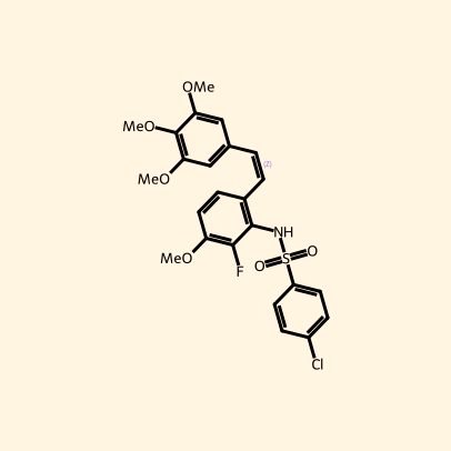 COc1ccc(/C=C\c2cc(OC)c(OC)c(OC)c2)c(NS(=O)(=O)c2ccc(Cl)cc2)c1F